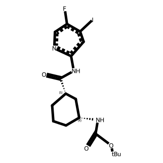 CC(C)(C)OC(=O)N[C@@H]1CCC[C@H](C(=O)Nc2cc(I)c(F)cn2)C1